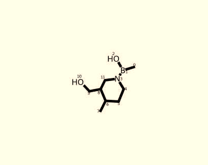 CB(O)N1CCC(C)C(CO)C1